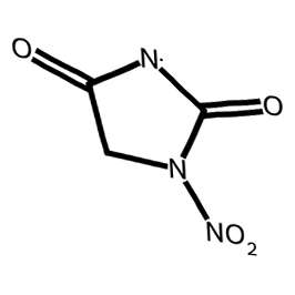 O=C1CN([N+](=O)[O-])C(=O)[N]1